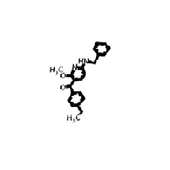 CCc1ccc(C(=O)c2ccc(NCc3ccccc3)nc2OC)cc1